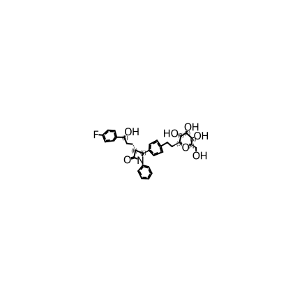 O=C1[C@H](CC[C@H](O)c2ccc(F)cc2)[C@@H](c2ccc(CC[C@@H]3O[C@H](CO)[C@@H](O)[C@H](O)[C@H]3O)cc2)N1c1ccccc1